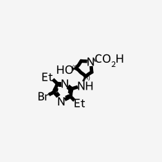 CCc1nc(N[C@@H]2CN(C(=O)O)C[C@@H]2O)c(CC)nc1Br